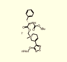 CCCCCCOc1nsnc1C1=CCC[N+](C)(COC(=O)[C@H](Cc2ccccc2)NC(=O)OC(C)(C)C)C1.[I-]